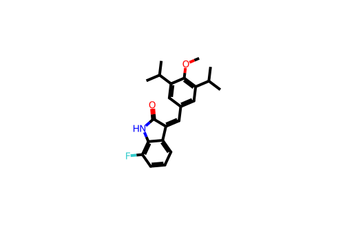 COc1c(C(C)C)cc(/C=C2\C(=O)Nc3c(F)cccc32)cc1C(C)C